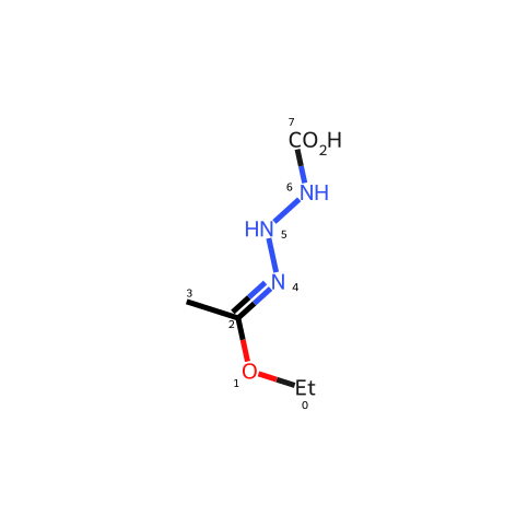 CCOC(C)=NNNC(=O)O